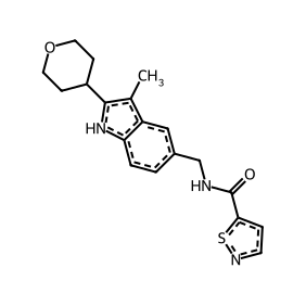 Cc1c(C2CCOCC2)[nH]c2ccc(CNC(=O)c3ccns3)cc12